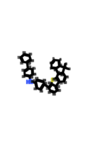 CC1(C)c2ccccc2-c2c1ccc1c2sc2c(-c3ccc(Nc4ccc(-c5ccccc5)cc4)cc3)cccc21